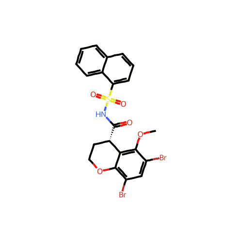 COc1c(Br)cc(Br)c2c1[C@@H](C(=O)NS(=O)(=O)c1cccc3ccccc13)CCO2